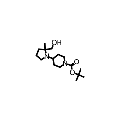 CC(C)(C)OC(=O)N1CCC(N2CCCC2(C)CO)CC1